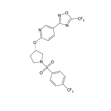 O=S(=O)(c1ccc(C(F)(F)F)cc1)N1CC[C@H](Oc2ccc(-c3noc(C(F)(F)F)n3)cn2)C1